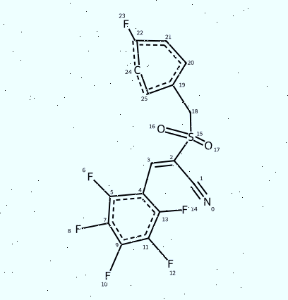 N#C/C(=C\c1c(F)c(F)c(F)c(F)c1F)S(=O)(=O)Cc1ccc(F)cc1